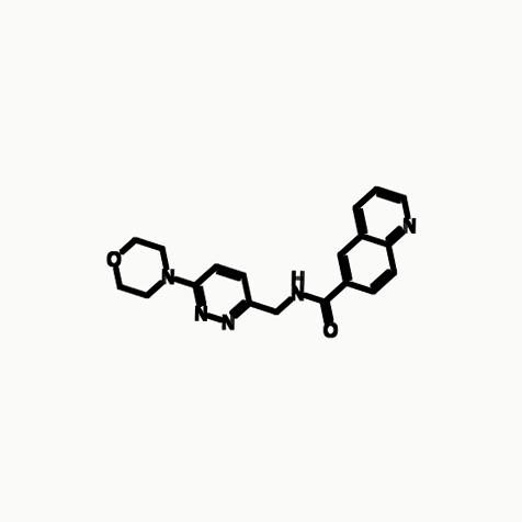 O=C(NCc1ccc(N2CCOCC2)nn1)c1ccc2ncccc2c1